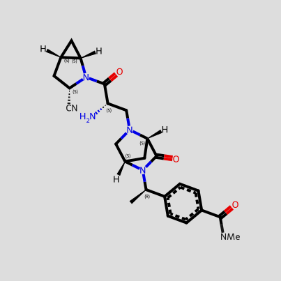 CNC(=O)c1ccc([C@@H](C)N2C(=O)[C@@H]3C[C@H]2CN3C[C@H](N)C(=O)N2[C@H](C#N)C[C@@H]3C[C@@H]32)cc1